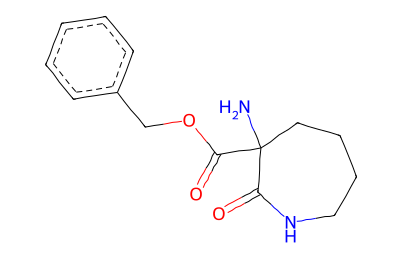 NC1(C(=O)OCc2ccccc2)CCCCNC1=O